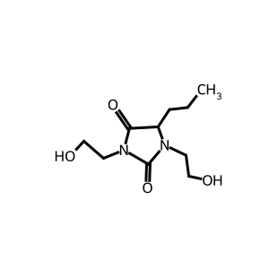 CCCC1C(=O)N(CCO)C(=O)N1CCO